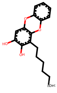 CCCCCCCCCCCCCCCc1c(O)c(O)cc2c1Oc1ccccc1O2